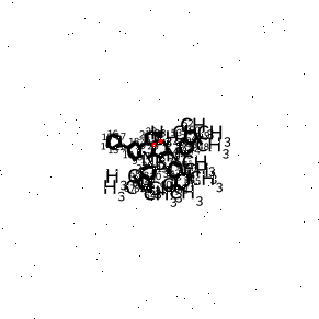 Cc1cc2c3c(c1)N(c1ccc(-c4ccccc4)cc1-c1ccccc1)c1cc4c(cc1B3c1cc3c(cc1N2c1cc2c(cc1C)C(C)(C)CC2(C)C)C(C)(C)CCC3(C)C)C(C)(C)CC4(C)C